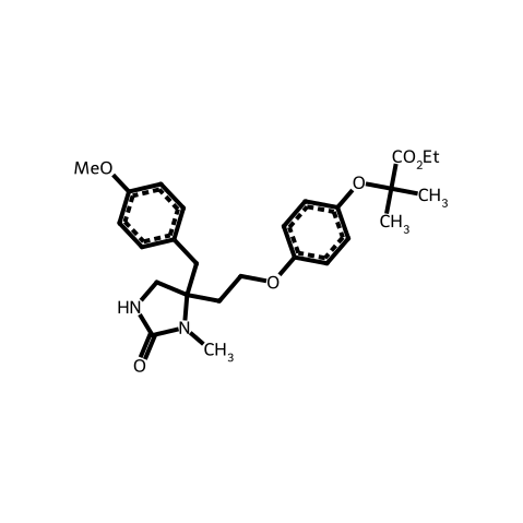 CCOC(=O)C(C)(C)Oc1ccc(OCCC2(Cc3ccc(OC)cc3)CNC(=O)N2C)cc1